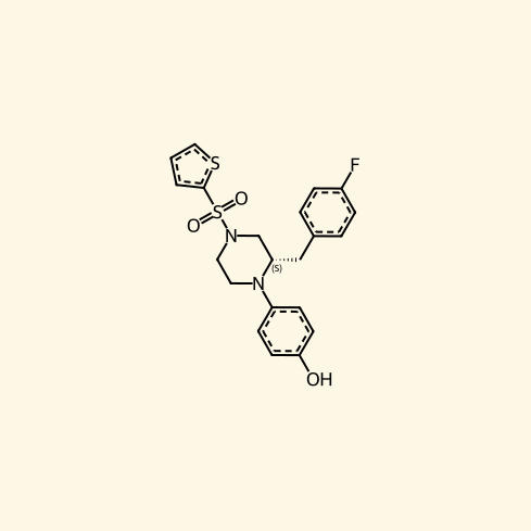 O=S(=O)(c1cccs1)N1CCN(c2ccc(O)cc2)[C@@H](Cc2ccc(F)cc2)C1